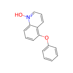 O[n+]1cccc2c(Oc3ccccc3)cccc21